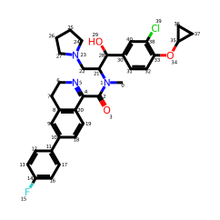 CN(C(=O)C1=NCCc2cc(-c3ccc(F)cc3)ccc21)C(CN1CCCC1)C(O)c1ccc(OC2CC2)c(Cl)c1